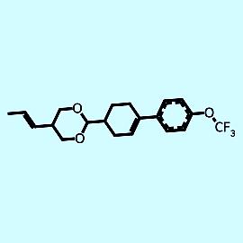 C/C=C/C1COC(C2CC=C(c3ccc(OC(F)(F)F)cc3)CC2)OC1